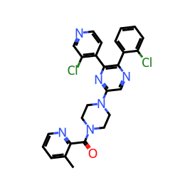 Cc1cccnc1C(=O)N1CCN(c2cnc(-c3ccccc3Cl)c(-c3ccncc3Cl)n2)CC1